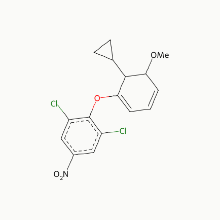 COC1C=CC=C(Oc2c(Cl)cc([N+](=O)[O-])cc2Cl)C1C1CC1